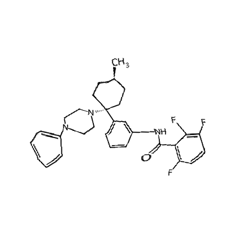 C[C@H]1CC[C@](c2cccc(NC(=O)c3c(F)ccc(F)c3F)c2)(N2CCN(c3ccccc3)CC2)CC1